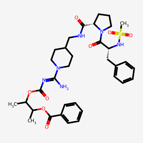 CC(OC(=O)/N=C(\N)N1CCC(CNC(=O)[C@@H]2CCCN2C(=O)[C@@H](Cc2ccccc2)NS(C)(=O)=O)CC1)C(C)OC(=O)c1ccccc1